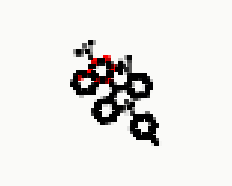 Cc1ccc(N(C)c2ccccc2C(c2ccccc2N(C)c2ccc(C)cc2)c2ccc(N(C)C)c3ccccc23)cc1